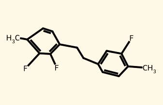 Cc1ccc(CCc2ccc(C)c(F)c2F)cc1F